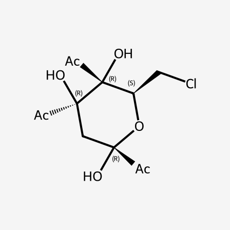 CC(=O)[C@@]1(O)C[C@](O)(C(C)=O)[C@@](O)(C(C)=O)[C@@H](CCl)O1